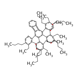 CCCCc1ccc(-c2c(-c3ccc(CCCC)c(CC)c3CCCC)c(-c3ccc(CCCC)c(CC)c3CCCC)c3c(c2-c2ccc(CCCC)c(CC)c2CCCC)=c2ccccc2=3)c(CCCC)c1CC